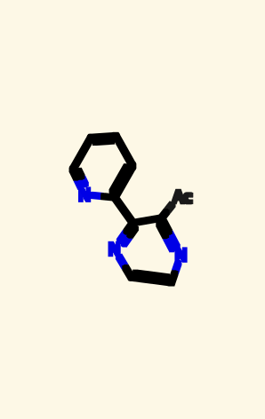 CC(=O)c1nccnc1-c1ccccn1